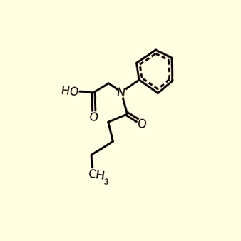 CCCCC(=O)N(CC(=O)O)c1ccccc1